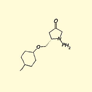 CC1CCC(OC[C@@H]2CC(=O)CN2P)CC1